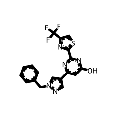 Oc1cc(-c2cnn(Cc3ccccc3)c2)nc(-c2nc(C(F)(F)F)cs2)n1